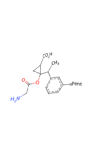 CCCCCc1cccc(C(C)C2(OC(=O)CN)CC2C(=O)O)c1